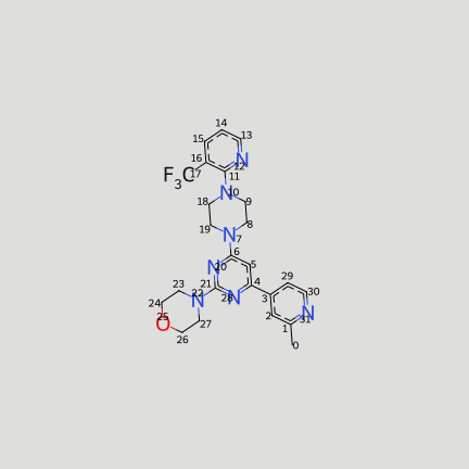 Cc1cc(-c2cc(N3CCN(c4ncccc4C(F)(F)F)CC3)nc(N3CCOCC3)n2)ccn1